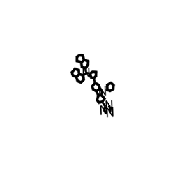 c1ccc(-n2c3cc(-c4cccc(N(c5ccc6ccccc6c5)c5cccc6ccccc56)c4)ccc3c3ccc(-c4ncncn4)cc32)cc1